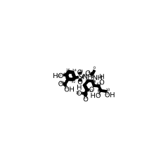 CC(=O)N[C@H]1[C@H]([C@H](O)[C@H](O)CO)OC(C(=O)O)=C[C@@H]1NS(=O)(=O)c1ccc(O)c(C(=O)O)c1